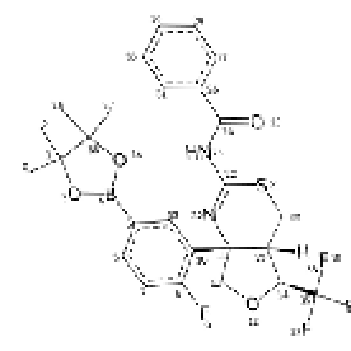 CC1(C)OB(c2ccc(F)c([C@]34CO[C@H](C(F)(F)F)[C@H]3CSC(NC(=O)c3ccccc3)=N4)c2)OC1(C)C